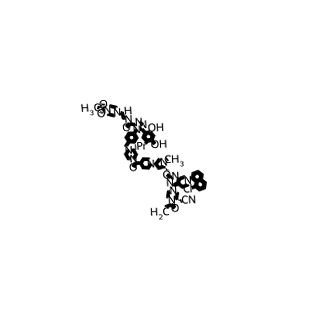 C=CC(=O)N1CCN(c2nc(OC[C@@H]3C[C@H](N4CCC(C(=O)N5CCN(Cc6ccc(-n7c(C(=O)NCCN8CCN(S(C)(=O)=O)CC8)nnc7-c7cc(C(C)C)c(O)cc7O)cc6)CC5)CC4)CN3C)nc3c2CCN(c2cccc4cccc(Cl)c24)C3)C[C@@H]1CC#N